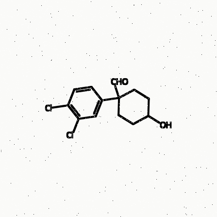 O=CC1(c2ccc(Cl)c(Cl)c2)CCC(O)CC1